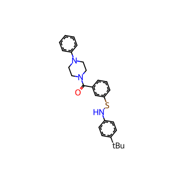 CC(C)(C)c1ccc(NSc2cccc(C(=O)N3CCN(c4ccccc4)CC3)c2)cc1